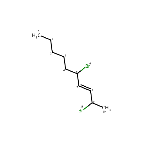 CCCCCC(Br)C=CC(C)Br